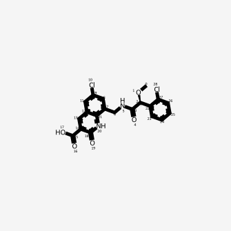 CO[C@H](C(=O)NCc1cc(Cl)cc2cc(C(=O)O)c(=O)[nH]c12)c1ccccc1Cl